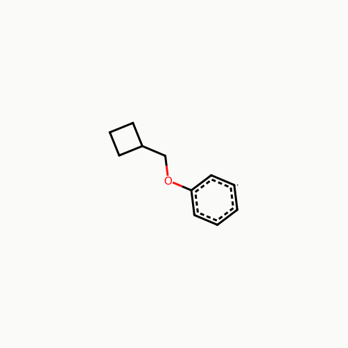 [c]1cccc(OCC2CCC2)c1